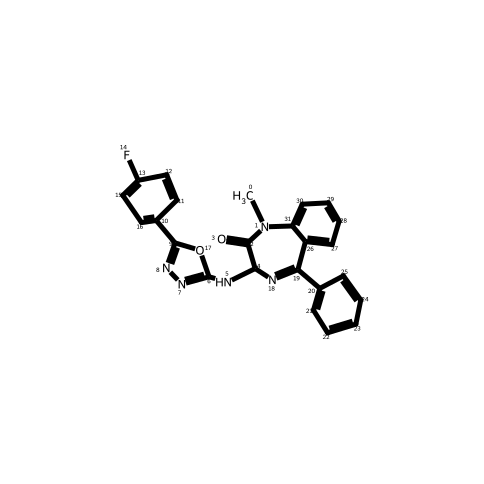 CN1C(=O)C(Nc2nnc(-c3ccc(F)cc3)o2)N=C(c2ccccc2)c2ccccc21